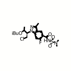 Cc1nn([C@@H](CCl)C(C)OCC(C)C)c2cc(F)c(C(=O)NS(=O)(=O)N(C)C)cc12